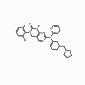 CN1C(=O)N(c2c(F)cccc2Br)Cc2cnc(N(C3=CC=CC(CN4CCCC4)C3)C3=COC=CO3)nc21